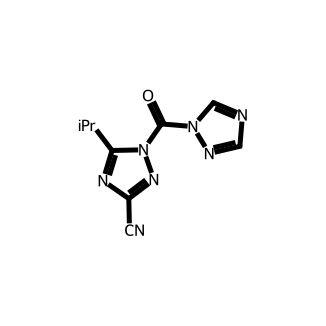 CC(C)c1nc(C#N)nn1C(=O)n1cncn1